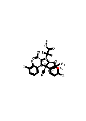 CC(C)(C)C[C@@H]1N(C(F)(F)C(=O)OF)[C@@H](C(=O)O)[C@H](c2cccc(Cl)c2F)[C@@]1(C#N)c1ccc(Cl)cc1Cl